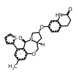 Cc1cc2c(c(-c3cccs3)c1)C(=O)N1C[C@@H](Oc3ccc4c(c3)NC(=O)CC4)C[C@@H]1CO2